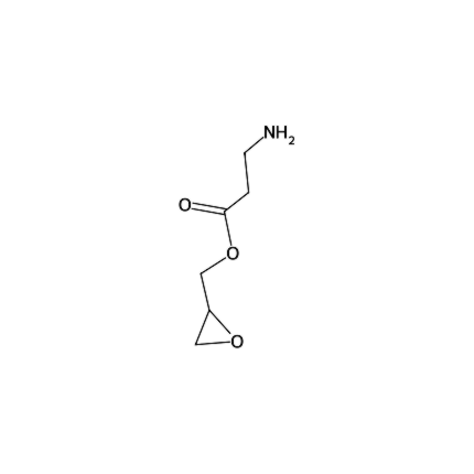 NCCC(=O)OCC1CO1